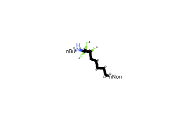 [CH2]CCCNC(F)(F)C(F)CCCCCCCCCCCCCC